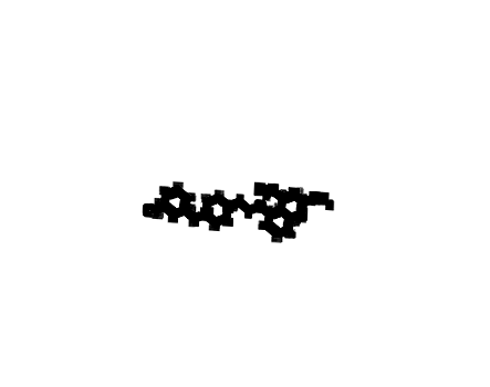 Nc1nc(N)c2c(OCCN3CCN(Cc4cccc(Cl)c4)CC3)cccc2n1